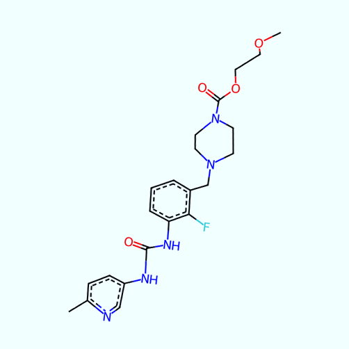 COCCOC(=O)N1CCN(Cc2cccc(NC(=O)Nc3ccc(C)nc3)c2F)CC1